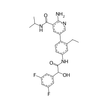 CCc1cc(NC(=O)C(O)c2cc(F)cc(F)c2)ccc1-c1cnc(N)c(C(=O)NC(C)C)c1